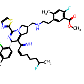 COC(=O)c1cc(CCNC[C@H]2CC3=C(C(=N)/C=C\CCCC(C)F)[C@H](c4ccc(C)cc4Cl)N=C(c4nccs4)N3C2)c(C)cc1F